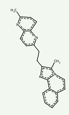 Cc1ccc2nc(CCc3nc4c5ccccc5ccn4c3C)ccc2n1